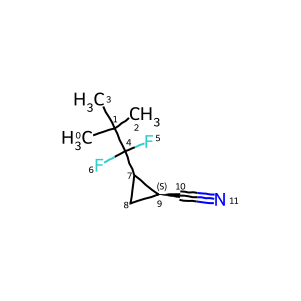 CC(C)(C)C(F)(F)C1C[C@@H]1C#N